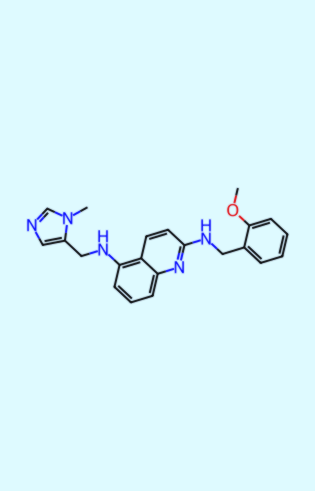 COc1ccccc1CNc1ccc2c(NCc3cncn3C)cccc2n1